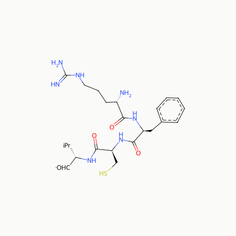 CC(C)[C@@H]([C]=O)NC(=O)[C@H](CS)NC(=O)[C@H](Cc1ccccc1)NC(=O)[C@@H](N)CCCNC(=N)N